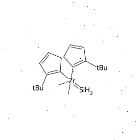 CC(C)(C)C1=[C]([Zr]([CH3])([CH3])(=[SiH2])[C]2=C(C(C)(C)C)C=CC2)CC=C1